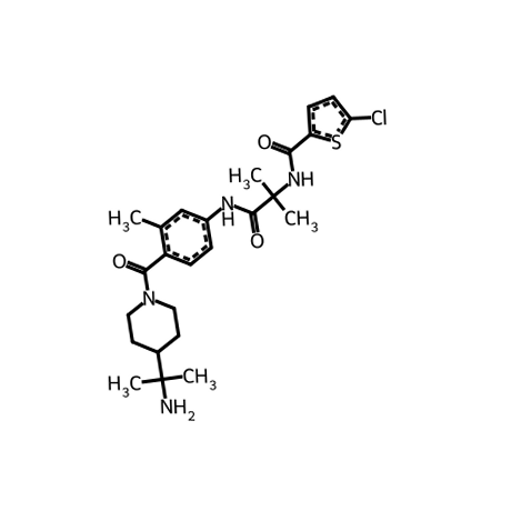 Cc1cc(NC(=O)C(C)(C)NC(=O)c2ccc(Cl)s2)ccc1C(=O)N1CCC(C(C)(C)N)CC1